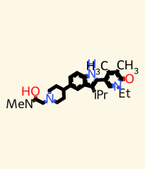 CCn1cc(-c2[nH]c3ccc(C4CCN(CC(O)NC)CC4)cc3c2C(C)C)c(C)c(C)c1=O